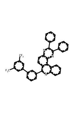 FC(F)(F)c1cc(-c2cccc(-c3nc4ccccc4c4c3ccc3nc(-c5ccccc5)c(-c5ccccc5)nc34)c2)cc(C(F)(F)F)c1